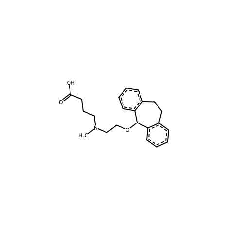 CN(CCCC(=O)O)CCOC1c2ccccc2CCc2ccccc21